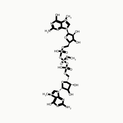 CBP(=O)(OP(=O)(O)OC[C@H]1O[C@@H](n2c[n+](C)c3c(O)nc(N)nc32)[C@@H](O)C1O)OP(=O)(O)OC[C@H]1O[C@@H](n2c[n+](C)c3c(O)nc(N)nc32)C(O)[C@H]1O